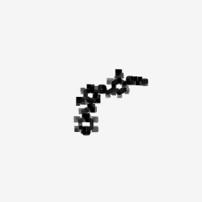 COc1ccc(COc2ncc(F)c(/N=C/N3CCOCC3)n2)cc1F